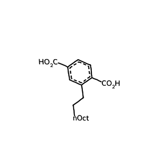 CCCCCCCCCCc1cc(C(=O)O)ccc1C(=O)O